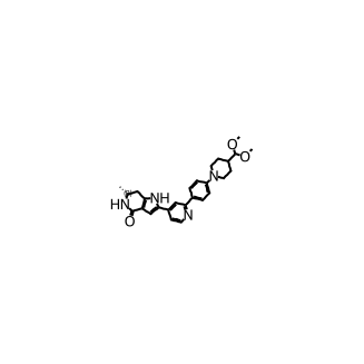 COC(OC)C1CCN(c2ccc(-c3cc(-c4cc5c([nH]4)C[C@@H](C)NC5=O)ccn3)cc2)CC1